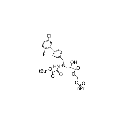 CCCC(=O)OCOC(=O)C(O)CN(Cc1ccc(-c2cc(Cl)ccc2F)cc1)NC(=O)C(=O)OC(C)(C)C